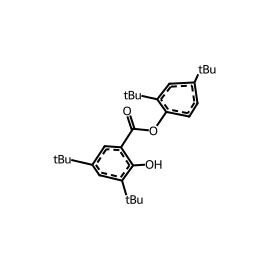 CC(C)(C)c1ccc(OC(=O)c2cc(C(C)(C)C)cc(C(C)(C)C)c2O)c(C(C)(C)C)c1